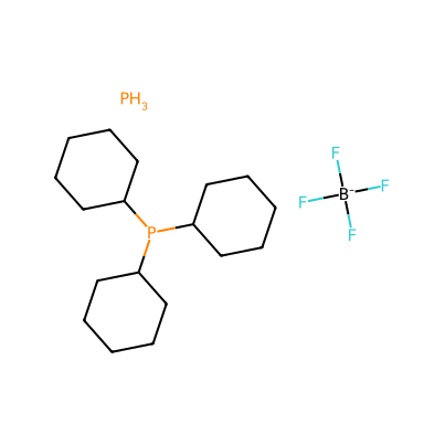 C1CCC(P(C2CCCCC2)C2CCCCC2)CC1.F[B-](F)(F)F.P